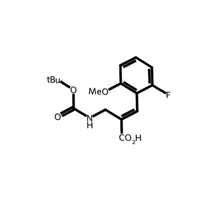 COc1cccc(F)c1C=C(CNC(=O)OC(C)(C)C)C(=O)O